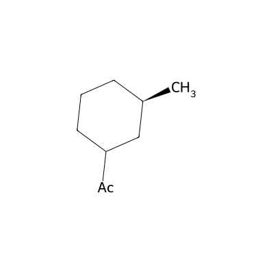 CC(=O)C1CCC[C@@H](C)C1